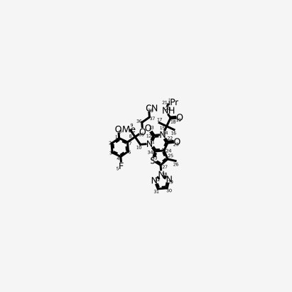 COc1ccc(F)cc1C(C)(Cn1c(=O)n(C(C)(C)C(=O)NC(C)C)c(=O)c2c(C)c(-n3nccn3)sc21)OCCC#N